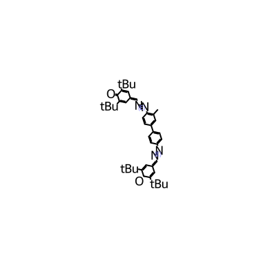 Cc1cc(-c2ccc(/N=N/C=C3C=C(C(C)(C)C)C(=O)C(C(C)(C)C)=C3)cc2)ccc1/N=N/C=C1C=C(C(C)(C)C)C(=O)C(C(C)(C)C)=C1